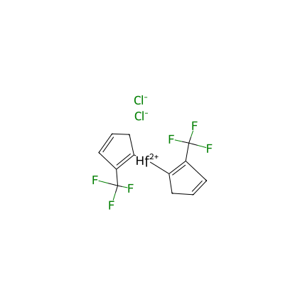 FC(F)(F)C1=[C]([Hf+2][C]2=C(C(F)(F)F)C=CC2)CC=C1.[Cl-].[Cl-]